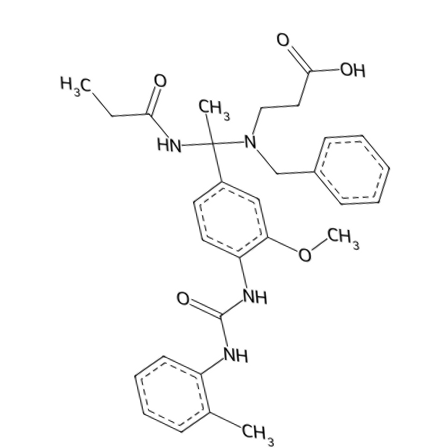 CCC(=O)NC(C)(c1ccc(NC(=O)Nc2ccccc2C)c(OC)c1)N(CCC(=O)O)Cc1ccccc1